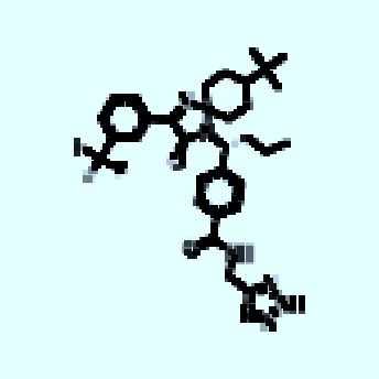 CCC[C@H](c1ccc(C(=O)NCc2nn[nH]n2)cc1)N1C(=O)C(c2cccc(C(F)(F)F)c2)=NC12CCC(C(C)(C)C)CC2